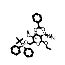 CCOC1OC(CO[Si](c2ccccc2)(c2ccccc2)C(C)(C)C)[C@@H](OC)[C@H](OC(=O)c2ccccc2)C1N=[N+]=[N-]